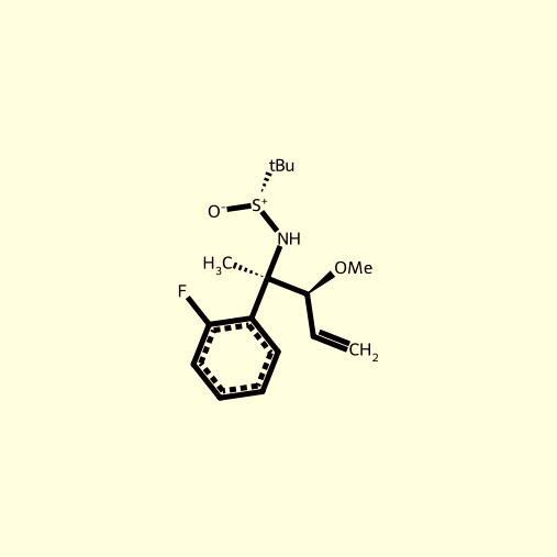 C=C[C@H](OC)[C@](C)(N[S@+]([O-])C(C)(C)C)c1ccccc1F